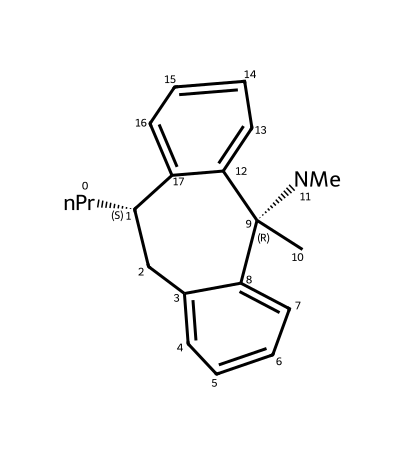 CCC[C@H]1Cc2ccccc2[C@@](C)(NC)c2ccccc21